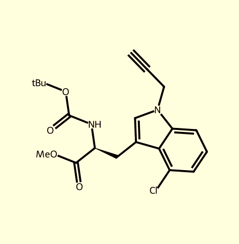 C#CCn1cc(C[C@H](NC(=O)OC(C)(C)C)C(=O)OC)c2c(Cl)cccc21